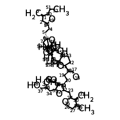 C=C1C[C@H](CC[C@@]23C[C@H]4O[C@H]5[C@@H](O2)[C@H]2OC([C@@H](C=O)CC[C@H]6C(CC7OCC[C@@H](C)C7=C)OC(C[C@H](O)CO)[C@@H]6OC)CC[C@@H]2O[C@H]5[C@H]4O3)OC1CC